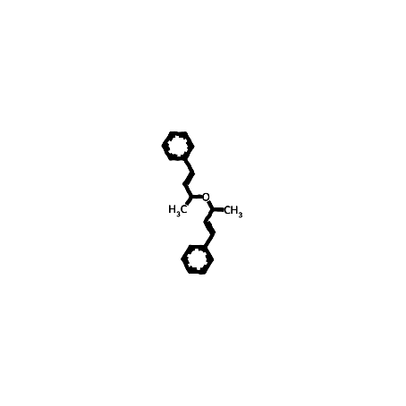 CC(C=Cc1ccccc1)OC(C)C=Cc1ccccc1